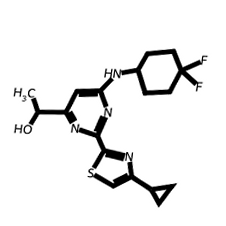 CC(O)c1cc(NC2CCC(F)(F)CC2)nc(-c2nc(C3CC3)cs2)n1